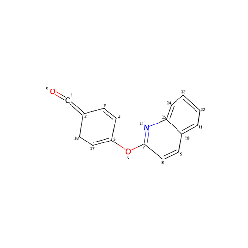 O=C=C1C=CC(Oc2ccc3ccccc3n2)=CC1